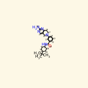 CC(C)(C)C1CCC(NC(=O)c2cccc(N3CCc4nc(N)ncc4C3)c2)CC1